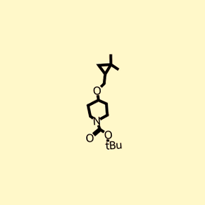 CC(C)(C)OC(=O)N1CCC(OCC2CC2(C)C)CC1